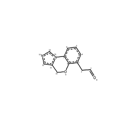 O=CCc1cccc2c1OCc1cncn1-2